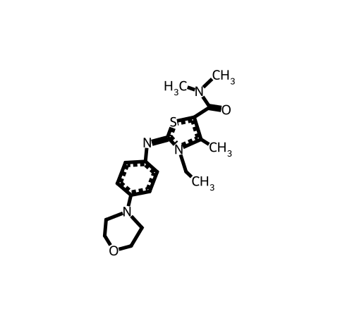 CCn1c(C)c(C(=O)N(C)C)sc1=Nc1ccc(N2CCOCC2)cc1